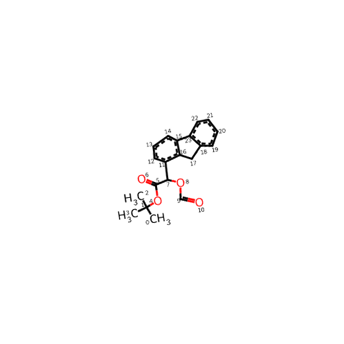 CC(C)(C)OC(=O)C(OC=O)c1cccc2c1Cc1ccccc1-2